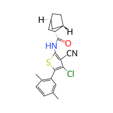 Cc1ccc(C)c(-c2sc(NC(=O)[C@@H]3C[C@H]4CC[C@H]3C4)c(C#N)c2Cl)c1